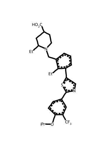 CCc1c(CN2CCC(C(=O)O)CC2CC)cccc1-c1cnc(-c2ccc(OC(C)C)c(C(F)(F)F)c2)s1